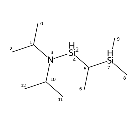 CC(C)N([SiH2]C(C)[SiH](C)C)C(C)C